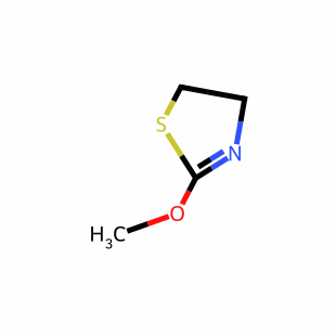 COC1=NCCS1